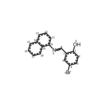 Oc1ccc(Br)cc1C=Nc1cccc2ccccc12